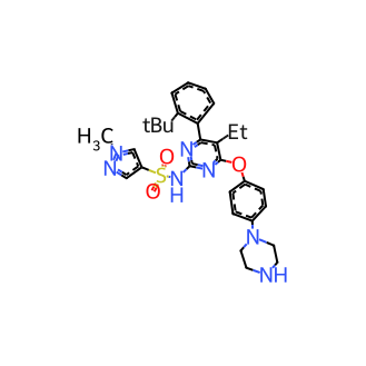 CCc1c(Oc2ccc(N3CCNCC3)cc2)nc(NS(=O)(=O)c2cnn(C)c2)nc1-c1ccccc1C(C)(C)C